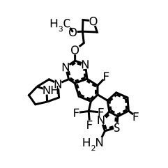 COC1(COc2nc(N3CC4CCC(C3)N4)c3cc(C(F)(F)F)c(-c4ccc(F)c5sc(N)nc45)c(F)c3n2)COC1